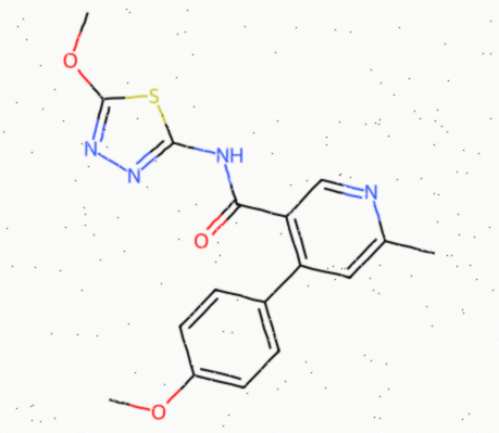 COc1ccc(-c2cc(C)ncc2C(=O)Nc2nnc(OC)s2)cc1